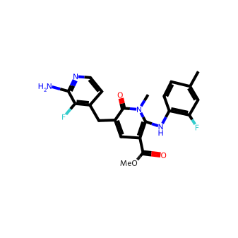 COC(=O)c1cc(Cc2ccnc(N)c2F)c(=O)n(C)c1Nc1ccc(C)cc1F